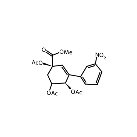 COC(=O)[C@]1(OC(C)=O)C=C(c2cccc([N+](=O)[O-])c2)[C@@H](OC(C)=O)C(OC(C)=O)C1